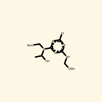 CCc1nc(NCOC)nc(N(COC)C(C)O)n1